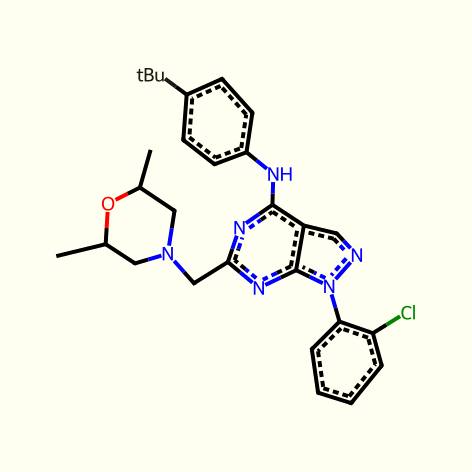 CC1CN(Cc2nc(Nc3ccc(C(C)(C)C)cc3)c3cnn(-c4ccccc4Cl)c3n2)CC(C)O1